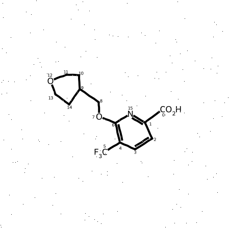 O=C(O)c1ccc(C(F)(F)F)c(OCC2CCOCC2)n1